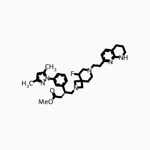 COC(=O)C[C@H](CN1CC2(CCN(CCc3ccc4c(n3)NCCC4)CC2F)C1)c1cccc(-n2nc(C)cc2C)c1